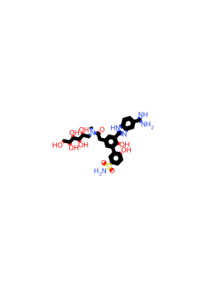 CN(CC(O)C(O)C(O)C(O)CO)C(=O)Cc1cc(-c2nc3cc(C(=N)N)ccc3[nH]2)c(O)c(-c2cc(S(N)(=O)=O)ccc2O)c1